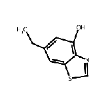 CCc1cc(O)c2ncsc2c1